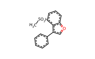 CS(=O)(=O)O.c1ccc(-c2coc3ccccc23)cc1